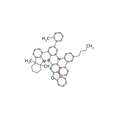 CCCCc1ccc(N2c3cc4c(cc3B3c5c(cc(-c6ccccc6C)cc52)-c2cccc5c2N3C2(C)CCCCC52C)oc2ccccc24)c(-c2ccccc2)c1